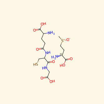 C[S+]([O-])CC[C@H](N)C(=O)O.NC(CCC(=O)NC(CS)C(=O)NCC(=O)O)C(=O)O